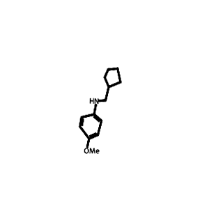 COc1ccc(NCC2CCCC2)cc1